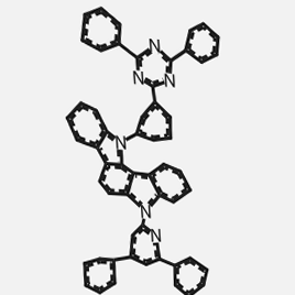 c1ccc(-c2cc(-c3ccccc3)nc(-n3c4ccccc4c4c3ccc3c5ccccc5n(-c5cccc(-c6nc(-c7ccccc7)nc(-c7ccccc7)n6)c5)c34)c2)cc1